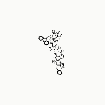 CC[C@H](C)[C@@H]([C@@H](CC(=O)N1CCC[C@H]1[C@H](OC)[C@@H](C)C(=S)N[C@@H](Cc1ccccc1)c1nccs1)OC)N(C)[C@H](C(=O)NC(=O)[C@H](C(C)C)N(C)C(=O)OCC1c2ccccc2-c2ccccc21)C(C)C